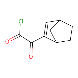 O=C(Cl)C(=O)C1=CC2CCC1C2